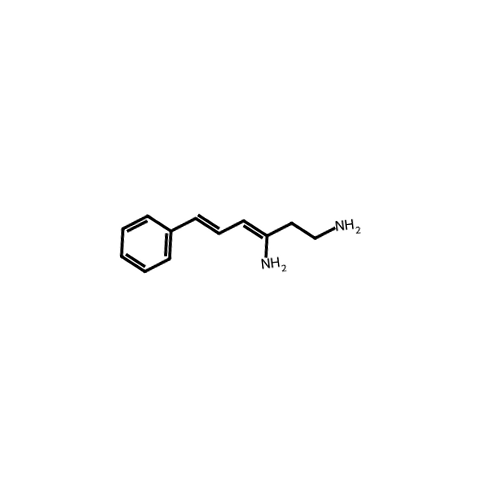 NCCC(N)=CC=Cc1ccccc1